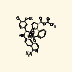 CCOc1cc([C@@H](Nc2ccc3c(N)nccc3c2)C(=O)N2CC[C@H](C(=O)OC(=O)C(F)(F)F)[C@@H]2c2ccccc2S(=O)(=O)CC)ccc1Cl